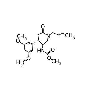 CCCCN1C[C@@H](NC(=O)OC)[C@H](c2cc(OC)cc(OC)c2)CC1=O